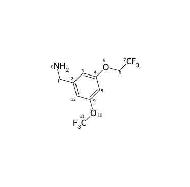 NCc1cc(OCC(F)(F)F)cc(OC(F)(F)F)c1